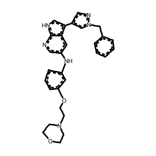 c1ccc(Cn2cc(-c3c[nH]c4ncc(Nc5cccc(OCCN6CCOCC6)c5)cc34)cn2)cc1